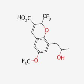 CC(O)Cc1cc(OC(F)(F)F)cc2c1OC(C(F)(F)F)C(C(=O)O)=C2